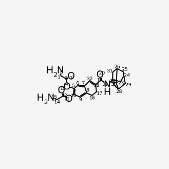 NCC(=O)Oc1cc2c(cc1OC(=O)CN)CCC(C(=O)NC13CC4CC(CC(C4)C1)C3)=C2